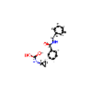 O=C(O)N[C@@H]1C[C@H]1c1cccc(C(=O)NCc2ccccc2)c1